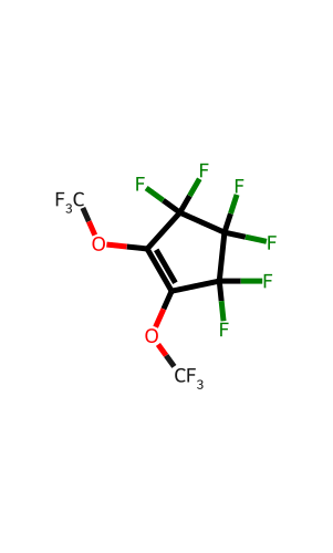 FC(F)(F)OC1=C(OC(F)(F)F)C(F)(F)C(F)(F)C1(F)F